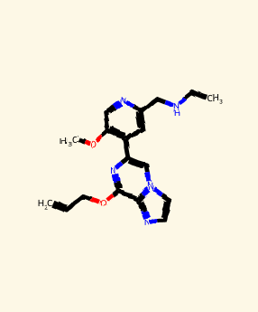 C=CCOc1nc(-c2cc(CNCC)ncc2OC)cn2ccnc12